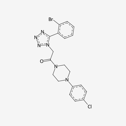 O=C(Cn1nnnc1-c1ccccc1Br)N1CCN(c2ccc(Cl)cc2)CC1